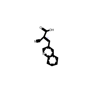 N#C/C(=C\c1cnc2ccccc2c1)C(=O)O